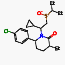 CCC1CCC(c2ccc(Cl)cc2)N(C(C[S+]([O-])C(CC)CC)C2CC2)C1=O